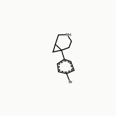 Brc1ccc(C23CCNCC2C3)cc1